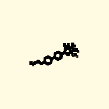 COCC1CCC(C2CC=C(B3OC(C)(C)C(C)(C)O3)CC2)CC1